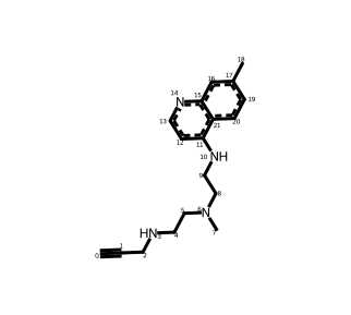 C#CCNCCN(C)CCNc1ccnc2cc(C)ccc12